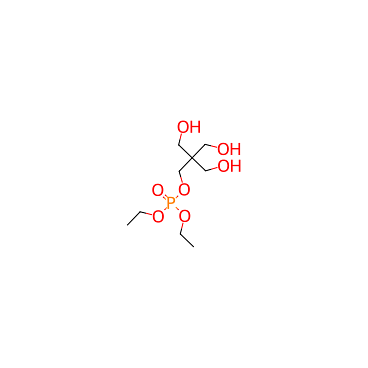 CCOP(=O)(OCC)OCC(CO)(CO)CO